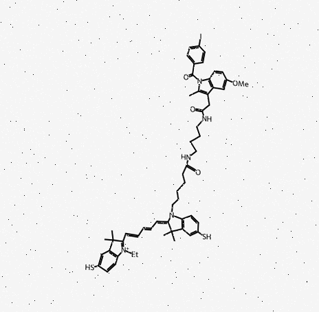 CC[N+]1=C(/C=C/C=C/C=C2/N(CCCCCC(=O)NCCCCNC(=O)Cc3c(C)n(C(=O)c4ccc(I)cc4)c4ccc(OC)cc34)c3ccc(S)cc3C2(C)C)C(C)(C)c2cc(S)ccc21